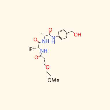 COCCOCCC(=O)N[C@@H](C(=O)N[C@H](C)C(=O)Nc1ccc(CO)cc1)C(C)C